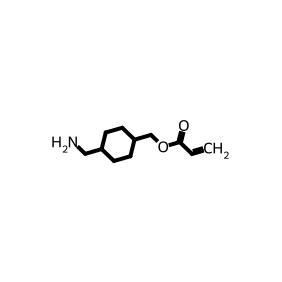 C=CC(=O)OCC1CCC(CN)CC1